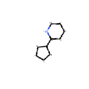 C1CCC(C2CCCC2)[N]C1